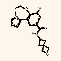 O=C(NC1CC2(COC2)C1)c1cc(F)c2c(c1)-c1cncn1CCO2